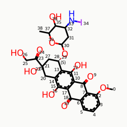 COc1cccc2c1C(=O)c1c(O)c3c(c(O)c1C2=O)C[C@@](O)(C(=O)CO)C[C@@H]3OC1CC(NI)C(O)C(C)O1